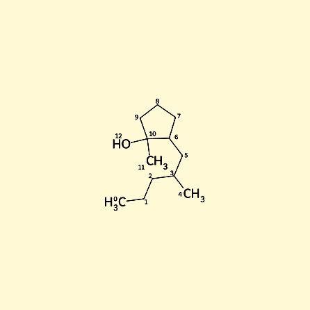 CCCC(C)CC1CCCC1(C)O